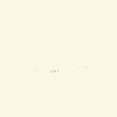 COC(=O)CCC=C[C@@H]1C[C@@H](NS(=O)(=O)c2ccc(Cl)cc2)CN1